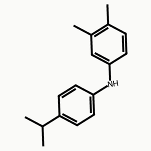 Cc1ccc(Nc2ccc(C(C)C)cc2)cc1C